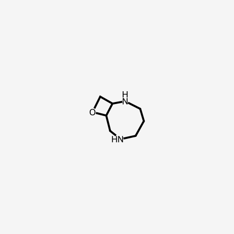 C1CNCC2OCC2NC1